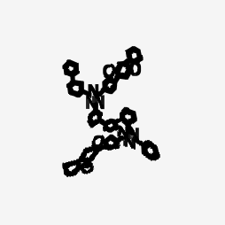 c1ccc(-c2cccc(-c3nc(-c4cccc(-c5cccc(-c6ccccc6-c6nc(-c7ccccc7)nc(-c7ccc8c(c7)oc7cc9c(cc78)oc7ccccc79)n6)c5)c4)nc(-c4ccc5c(c4)oc4cc6c(cc45)oc4ccccc46)n3)c2)cc1